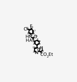 CCOC(=O)c1cnn2c(-c3cccc([AsH]C(=O)Nc4ccc(F)c(Cl)c4)c3)ccnc12